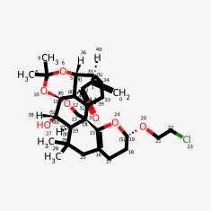 C=C1C(=O)[C@@]23[C@@H]4OC(C)(C)O[C@]25OC[C@]2(C6=C(CC[C@@H](OCCCl)O6)CC(C)(C)[C@H]2[C@@H]5O)[C@@H]3CC[C@@H]14